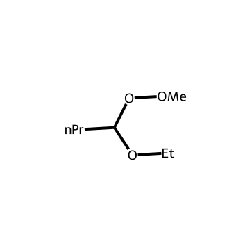 CCCC(OCC)OOC